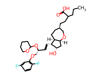 CCCC(CC[C@@H]1CC[C@@H]2[C@@H](/C=C/[C@H](COc3cc(F)ccc3F)OC3CCCCO3)[C@@H](O)C[C@@H]2OC1)C(=O)O